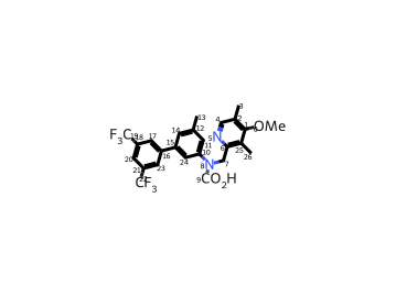 COc1c(C)cnc(CN(C(=O)O)c2cc(C)cc(-c3cc(C(F)(F)F)cc(C(F)(F)F)c3)c2)c1C